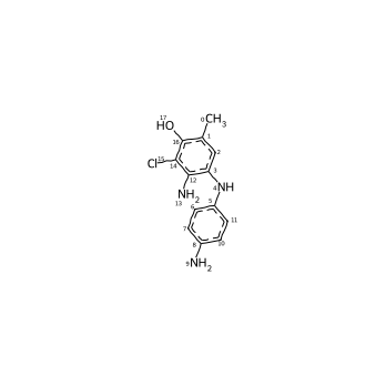 Cc1cc(Nc2ccc(N)cc2)c(N)c(Cl)c1O